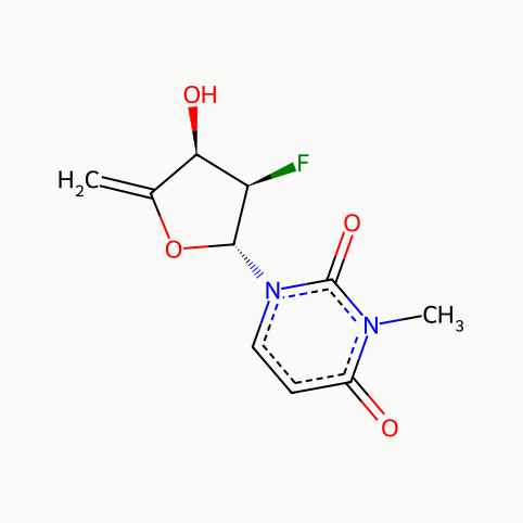 C=C1O[C@@H](n2ccc(=O)n(C)c2=O)[C@H](F)[C@@H]1O